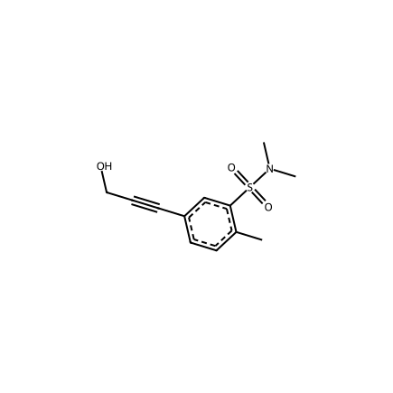 Cc1ccc(C#CCO)cc1S(=O)(=O)N(C)C